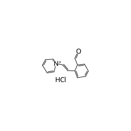 Cl.O=Cc1ccccc1/C=C/[n+]1ccccc1